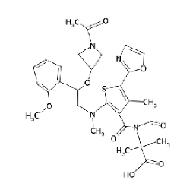 COc1ccccc1C(CN(C)c1sc(-c2ncco2)c(C)c1C(=O)N(C=O)C(C)(C)C(=O)O)OC1CN(C(C)=O)C1